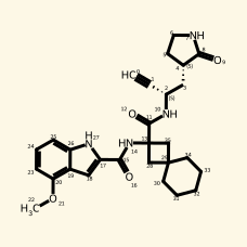 C#C[C@H](C[C@@H]1CCNC1=O)NC(=O)C1(NC(=O)c2cc3c(OC)cccc3[nH]2)CC2(CCCCC2)C1